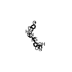 COc1ccc(CNc2nccc(-c3csc(-c4cccc([C@]5(O)CCN(C)C5=O)c4)n3)n2)c(OC)c1